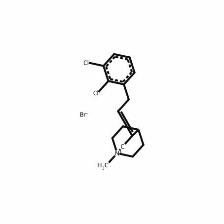 C[N+]12CCC(CC1)C(=CCc1cccc(Cl)c1Cl)C2.[Br-]